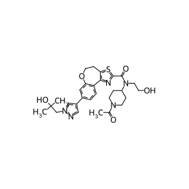 CC(=O)N1CCC(N(CCO)C(=O)c2nc3c(s2)CCOc2cc(-c4cnn(CC(C)(C)O)c4)ccc2-3)CC1